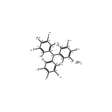 B.Fc1c(F)c(F)c(B(c2c(F)c(F)c(F)c(F)c2F)c2c(F)c(F)c(F)c(F)c2F)c(F)c1F